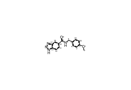 COc1ccc(CNC(=O)c2ccc3[nH]nnc3c2)cc1